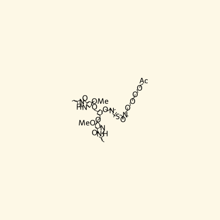 C/C=C1\C[C@H]2C=Nc3cc(OCc4cc(COc5cc6c(cc5OC)C(=O)N5C/C(=C/C)C[C@H]5C=N6)cc(OCCN(C)CC(C)(C)SCC(=O)N(C)CCOCCOCCOCCOCCC(C)=O)c4)c(OC)cc3C(=O)N2C1